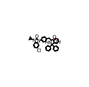 O=C(O)C(Cc1ccc(-n2c(=O)n(C3CC3)c3ccc(Cl)cc32)cc1)NC(c1ccccc1)(c1ccccc1)c1ccccc1